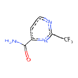 NC(=O)c1ccnc(C(F)(F)F)n1